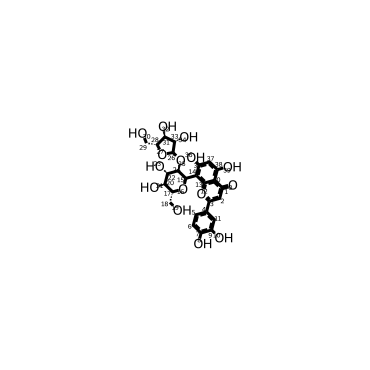 O=c1cc(-c2ccc(O)c(O)c2)oc2c(C3O[C@H](CO)[C@@H](O)[C@H](O)[C@H]3OC3O[C@H](CO)[C@@H](O)[C@@H]3O)c(O)cc(O)c12